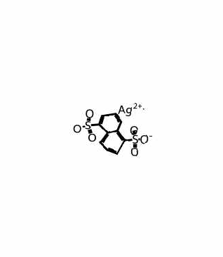 O=S(=O)([O-])c1cccc2c(S(=O)(=O)[O-])cccc12.[Ag+2]